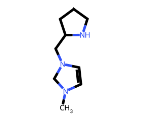 CN1C=CN(CC2C[CH]CN2)C1